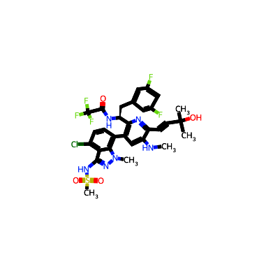 CNc1cc(-c2ccc(Cl)c3c(NS(C)(=O)=O)nn(C)c23)c([C@H](Cc2cc(F)cc(F)c2)NC(=O)C(F)(F)F)nc1C#CC(C)(C)O